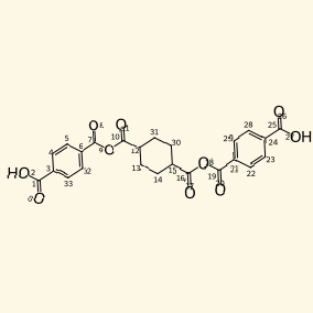 O=C(O)c1ccc(C(=O)OC(=O)C2CCC(C(=O)OC(=O)c3ccc(C(=O)O)cc3)CC2)cc1